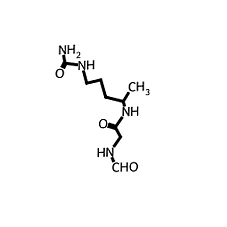 CC(CCCNC(N)=O)NC(=O)CNC=O